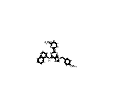 COc1ccc(Cn2cnc3c(Nc4ccnc5ccccc45)nc(-c4cccc(C)n4)nc32)cc1